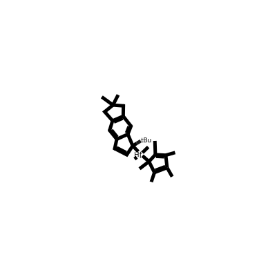 CC1=C(C)[C](C)([Hf]([CH3])([CH3])[C]2(C(C)(C)C)C=Cc3cc4c(cc32)CC(C)(C)C4)C(C)=C1C